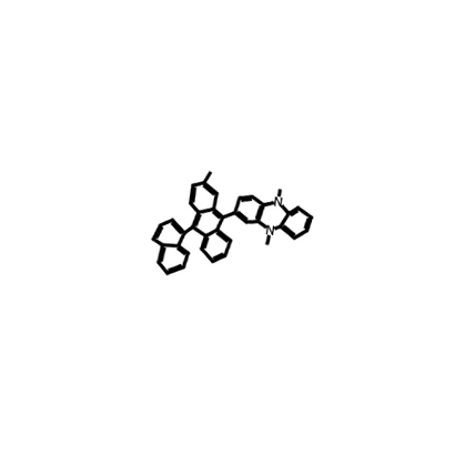 Cc1ccc2c(-c3cccc4ccccc34)c3ccccc3c(-c3ccc4c(c3)N(C)c3ccccc3N4C)c2c1